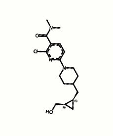 CN(C)C(=O)c1ccc(N2CCC(C[C@H]3C[C@H]3CO)CC2)nc1Cl